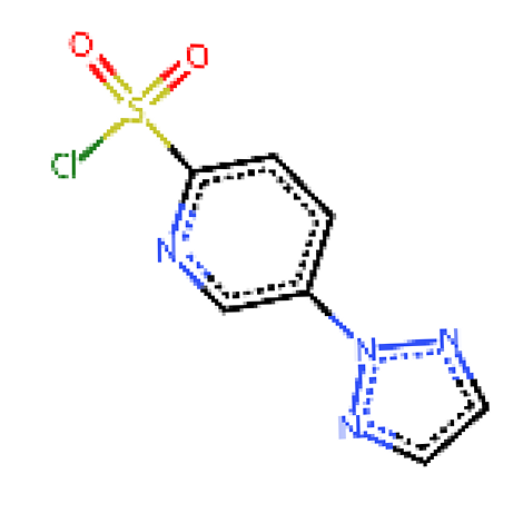 O=S(=O)(Cl)c1ccc(-n2nccn2)cn1